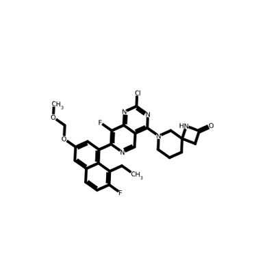 CCc1c(F)ccc2cc(OCOC)cc(-c3ncc4c(N5CCCC6(CC(=O)N6)C5)nc(Cl)nc4c3F)c12